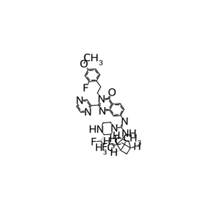 COc1ccc(CCn2c(-c3cnccn3)nc3cc(N=C(N[C@H]4C[C@@H]5C[C@@H]([C@H]4C)C5(C)C)N4CCN[C@@H](C(F)F)C4)ccc3c2=O)c(F)c1